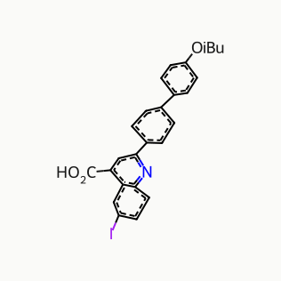 CC(C)COc1ccc(-c2ccc(-c3cc(C(=O)O)c4cc(I)ccc4n3)cc2)cc1